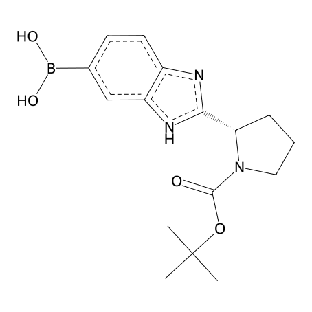 CC(C)(C)OC(=O)N1CCC[C@H]1c1nc2ccc(B(O)O)cc2[nH]1